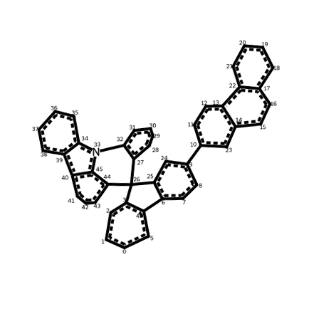 c1ccc2c(c1)-c1ccc(-c3ccc4c(ccc5ccccc54)c3)cc1C21c2ccccc2-n2c3ccccc3c3cccc1c32